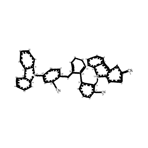 N#Cc1ccc2c(c1)c1ccccc1n2-c1c(C#N)cccc1C1=CCCC=C1Cc1ccc(-n2c3ccccc3c3ccccc32)cc1C#N